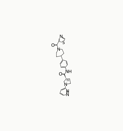 O=C(Nc1ccc(C2CCN(C(=O)c3cncs3)CC2)cc1)[C@H]1CCN(c2cccnn2)C1